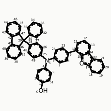 Oc1ccc(N(c2ccc(-c3cccc4c3oc3ccccc34)cc2)c2ccc(C3(c4ccccc4)c4ccccc4-c4ccccc43)cc2)cc1